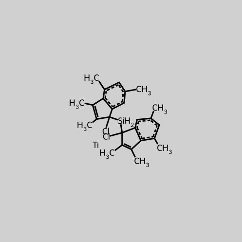 CC1=C(C)C(Cl)([SiH2]C2(Cl)C(C)=C(C)c3c(C)cc(C)cc32)c2cc(C)cc(C)c21.[Ti]